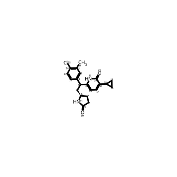 Cc1cc(C(C[C@H]2CCC(=O)N2)c2ccc(C3CC3)c(=O)[nH]2)ccc1Cl